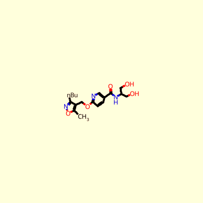 CCCCc1noc(C)c1COc1ccc(C(=O)NC(CO)CO)cn1